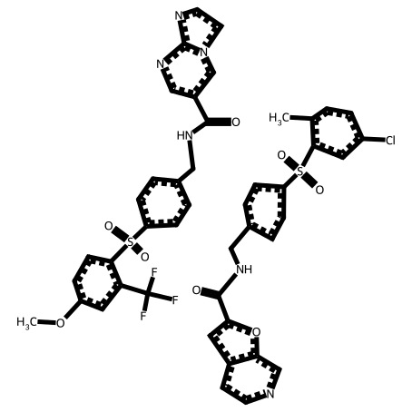 COc1ccc(S(=O)(=O)c2ccc(CNC(=O)c3cnc4nccn4c3)cc2)c(C(F)(F)F)c1.Cc1ccc(Cl)cc1S(=O)(=O)c1ccc(CNC(=O)c2cc3ccncc3o2)cc1